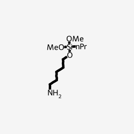 CCC[Si](OC)(OC)OCCCCCN